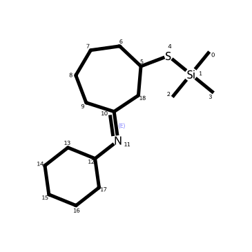 C[Si](C)(C)SC1CCCC/C(=N\C2CCCCC2)C1